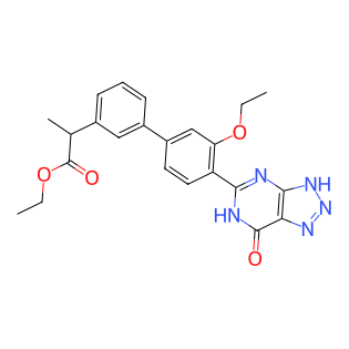 CCOC(=O)C(C)c1cccc(-c2ccc(-c3nc4[nH]nnc4c(=O)[nH]3)c(OCC)c2)c1